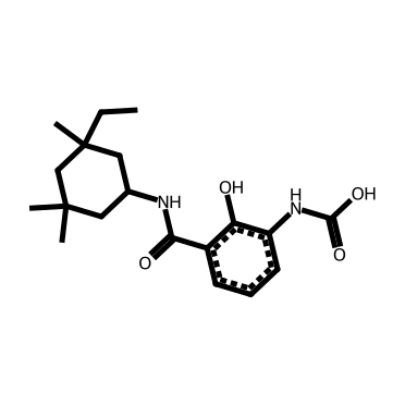 CCC1(C)CC(NC(=O)c2cccc(NC(=O)O)c2O)CC(C)(C)C1